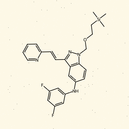 C[Si](C)(C)CCOCn1nc(C=Cc2ccccn2)c2cc(Nc3cc(F)cc(F)c3)ccc21